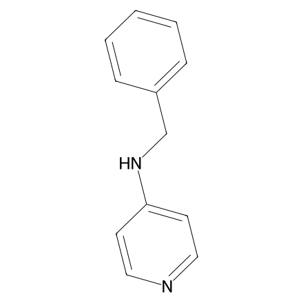 c1ccc(CNc2ccncc2)cc1